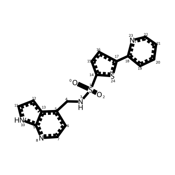 O=S(=O)(NCc1ccnc2[nH]ccc12)c1ccc(-c2ccccn2)s1